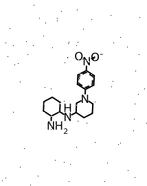 NC1CCCCC1NC1CCCN(c2ccc([N+](=O)[O-])cc2)C1